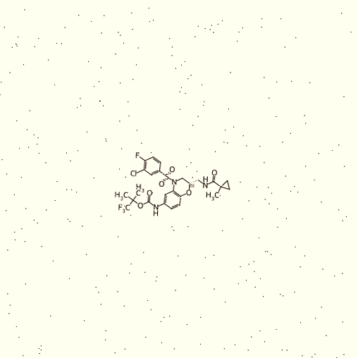 CC1(C(=O)NC[C@H]2CN(S(=O)(=O)c3ccc(F)c(Cl)c3)c3cc(NC(=O)OC(C)(C)C(F)(F)F)ccc3O2)CC1